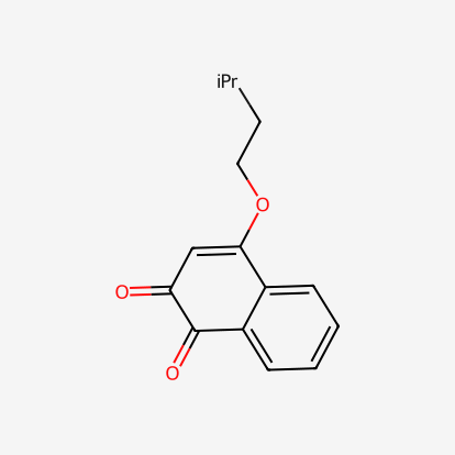 CC(C)CCOC1=CC(=O)C(=O)c2ccccc21